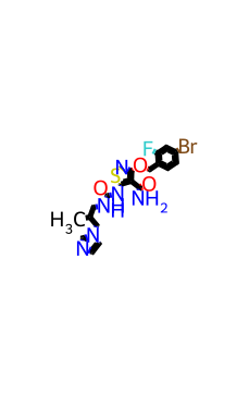 CC(CNC(=O)Nc1snc(OCc2ccc(Br)cc2F)c1C(N)=O)Cn1ccnc1